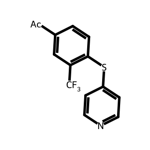 CC(=O)c1ccc(Sc2ccncc2)c(C(F)(F)F)c1